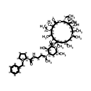 CC[C@H]1OC(=O)[C@H](C)[C@@H](OC)[C@H](C)[C@@H](O[C@@H]2O[C@H](C)C[C@H](N(C)CCNC(=O)[C@@H]3CCCN3Cc3ccccc3)[C@H]2O)[C@](C)(O)C[C@@H](C)CN(C)[C@H](C)[C@@H](O)[C@]1(C)O